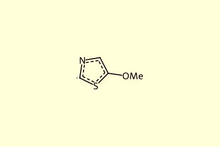 COc1cn[c]s1